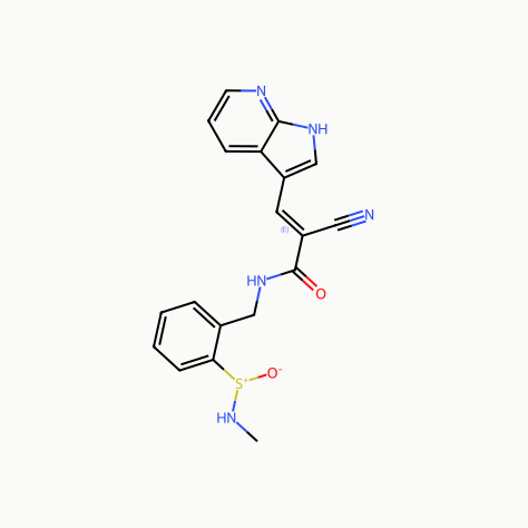 CN[S+]([O-])c1ccccc1CNC(=O)/C(C#N)=C/c1c[nH]c2ncccc12